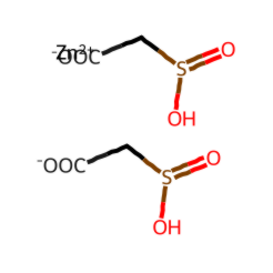 O=C([O-])CS(=O)O.O=C([O-])CS(=O)O.[Zn+2]